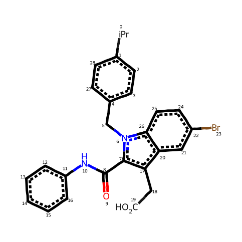 CC(C)c1ccc(Cn2c(C(=O)Nc3ccccc3)c(CC(=O)O)c3cc(Br)ccc32)cc1